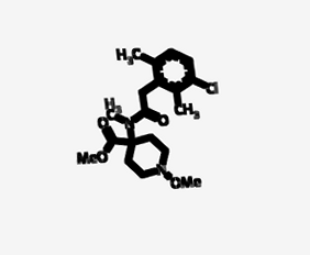 COC(=O)C1(N(C)C(=O)Cc2c(C)ccc(Cl)c2C)CCN(OC)CC1